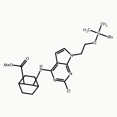 COC(=O)C1C2CCC(CC2)C1Nc1nc(Cl)nc2c1ccn2CCO[Si](C)(C)C(C)(C)C